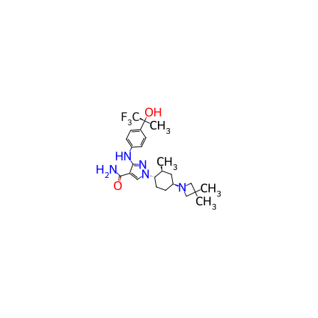 C[C@H]1C[C@@H](N2CC(C)(C)C2)CC[C@@H]1n1cc(C(N)=O)c(Nc2ccc([C@@](C)(O)C(F)(F)F)cc2)n1